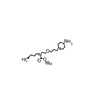 C#CCCCN(CCOCCCN1CCC(N)CC1)C(=O)OC(C)(C)C